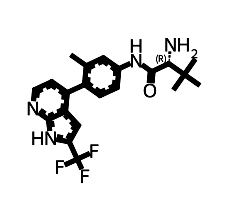 Cc1cc(NC(=O)[C@H](N)C(C)(C)C)ccc1-c1ccnc2[nH]c(C(F)(F)F)cc12